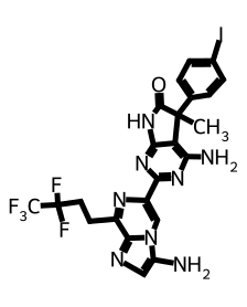 CC1(c2ccc(I)cc2)C(=O)Nc2nc(-c3cn4c(N)cnc4c(CCC(F)(F)C(F)(F)F)n3)nc(N)c21